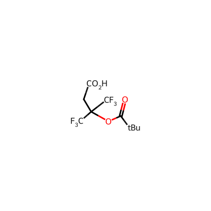 CC(C)(C)C(=O)OC(CC(=O)O)(C(F)(F)F)C(F)(F)F